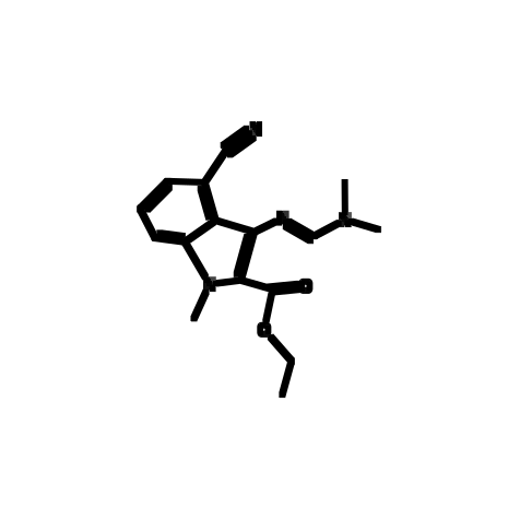 CCOC(=O)c1c(/N=C/N(C)C)c2c(C#N)cccc2n1C